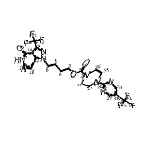 O=C(OCCCCn1nc(C(F)(F)F)c2c(=O)[nH]ncc21)N1CCN(c2ncc(C(F)(F)F)cn2)CC1